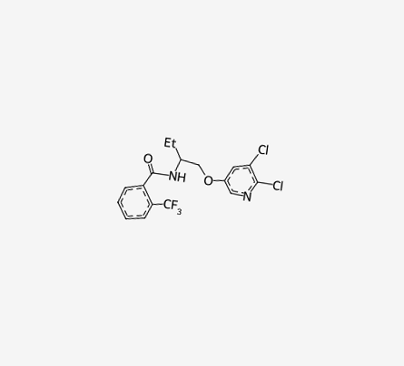 [CH2]CC(COc1cnc(Cl)c(Cl)c1)NC(=O)c1ccccc1C(F)(F)F